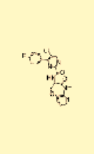 CN1C(=O)[C@@H](NC(=O)c2ncc(Cl)c(-c3ccc(F)cc3)n2)COc2cccnc21